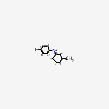 CC1CCC/C(=N\c2ccc(F)cc2)C1